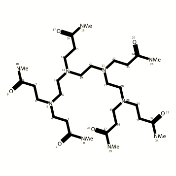 CNC(=O)CCN(CCC(=O)NC)CCN(CCC(=O)NC)CCN(CCC(=O)NC)CCN(CCC(=O)NC)CCC(=O)NC